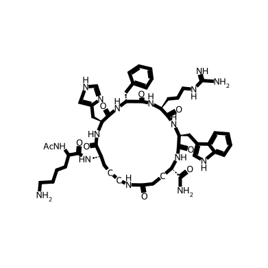 CC(=O)NC(CCCCN)C(=O)N[C@H]1CCCNC(=O)CC[C@@H](C(N)=O)NC(=O)[C@H](Cc2c[nH]c3ccccc23)NC(=O)[C@H](CCCNC(=N)N)NC(=O)[C@@H](Cc2ccccc2)NC(=O)[C@H](Cc2c[nH]cn2)NC1=O